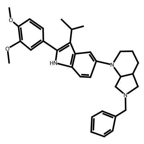 COc1ccc(-c2[nH]c3ccc(N4CCCC5CN(Cc6ccccc6)CC54)cc3c2C(C)C)cc1OC